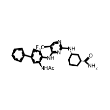 CC(=O)Nc1cc(-c2ccccc2)ccc1Nc1nc(N[C@H]2CCC[C@@H](C(N)=O)C2)ncc1C(F)(F)F